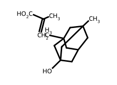 C=C(C)C(=O)O.CC12CC3CC(C)(C1)CC(O)(C3)C2